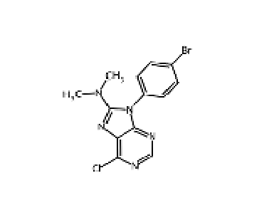 CN(C)c1nc2c(Cl)ncnc2n1-c1ccc(Br)cc1